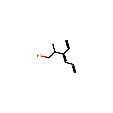 C=C/C=C(\C=C)C(C)CO